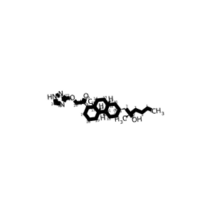 CCCC[C@@](C)(O)C[C@@H]1CC[C@@H]2[C@H](CC[C@]3(C)[C@@H](C(=O)COc4nc[nH]n4)CCC[C@@H]23)C1